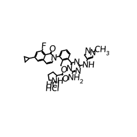 Cl.Cl.Cn1cc(Nc2nc(N)nc(-c3cccc(-n4ccc5cc(C6CC6)cc(F)c5c4=O)c3COC(=O)C3CCCN3)n2)cn1